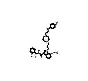 COc1cccc2c(C(=O)NCc3ccccc3C)cn(CCCN3CCCN(CCOc4ccc(F)cc4)CC3)c12